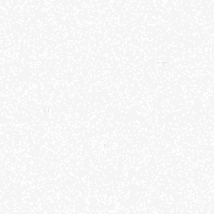 COc1ccc2c(c1)C(CCO)=C(C)/C2=C(/Cl)c1ccccc1